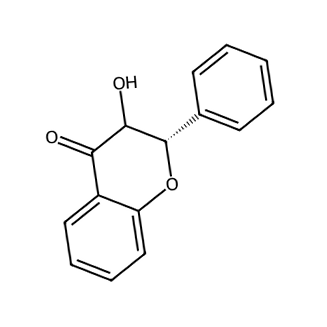 O=C1c2ccccc2O[C@@H](c2ccccc2)C1O